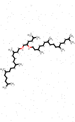 CC(C)CCCC(C)CCCC(C)CCCC(C)CCOCC(CCC(C)C)OCCC(C)CCCC(C)CCCC(C)CCCC(C)C